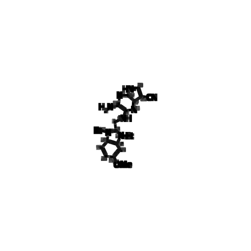 CCn1c(CNc2nc3c(C#N)c[nH]c3nc2N)[n+](CC)c2ccc(OC)cc21